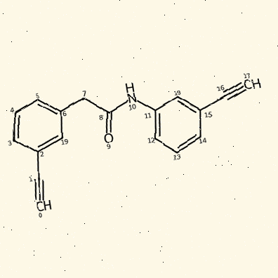 C#Cc1cccc(CC(=O)Nc2cccc(C#C)c2)c1